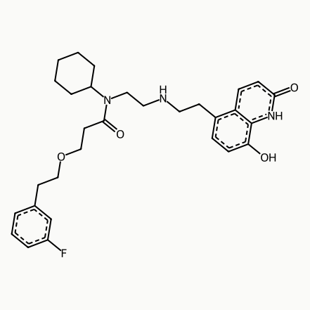 O=C(CCOCCc1cccc(F)c1)N(CCNCCc1ccc(O)c2[nH]c(=O)ccc12)C1CCCCC1